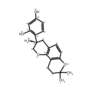 CC1(C)CCc2c(ccc3c2OC[C@](N)(c2ccc(O)cc2O)C3)O1